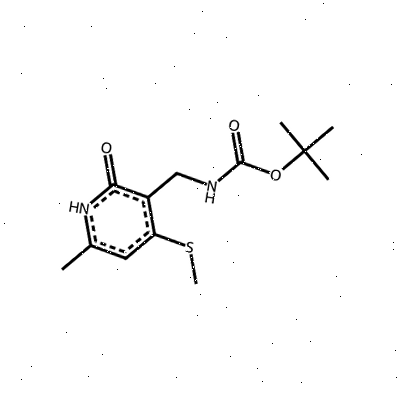 CSc1cc(C)[nH]c(=O)c1CNC(=O)OC(C)(C)C